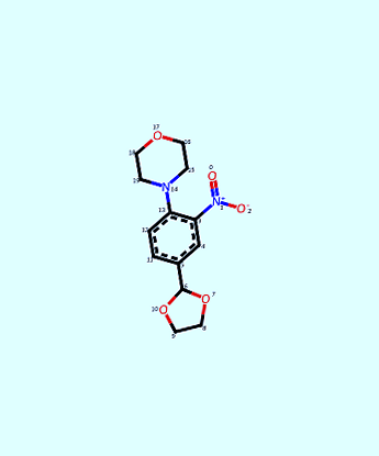 O=[N+]([O-])c1cc(C2OCCO2)ccc1N1CCOCC1